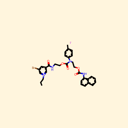 CCC[n+]1cc(Br)cc(C(=O)NCCOC(=O)N(CCOC(=O)Nc2cccc3ccccc23)c2ccc(C)cc2)c1.[I-]